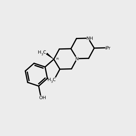 CC(C)C1CN2CC(C)[C@](C)(c3cccc(O)c3)CC2CN1